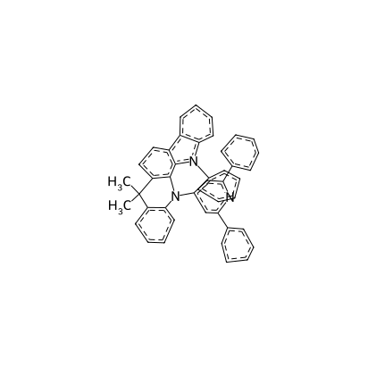 CC1(C)c2ccccc2N(c2cc(-c3ccccc3)nc(-c3ccccc3)c2)c2c1ccc1c3ccccc3n(-c3ccccc3)c21